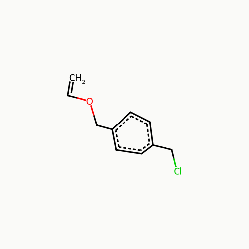 C=COCc1ccc(CCl)cc1